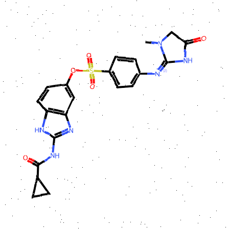 CN1CC(=O)N/C1=N/c1ccc(S(=O)(=O)Oc2ccc3[nH]c(NC(=O)C4CC4)nc3c2)cc1